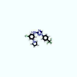 Fc1cc(Nc2ncn(-c3ccc(C(F)(F)F)cc3)n2)cc(N2CCCC2)c1